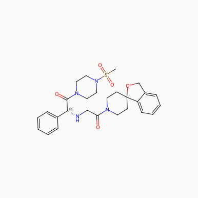 CS(=O)(=O)N1CCN(C(=O)[C@H](NCC(=O)N2CCC3(CC2)OCc2ccccc23)c2ccccc2)CC1